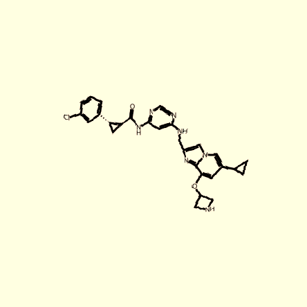 O=C(Nc1cc(NCc2cn3cc(C4CC4)cc(OC4CNC4)c3n2)ncn1)[C@H]1C[C@@H]1c1cccc(Cl)c1